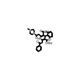 COC(=O)C1=C(CC(=O)c2ccccc2)NC(CC(=O)N2CCN(C)CC2)=C(C(=O)OC)C1c1c(Cl)cccc1Cl